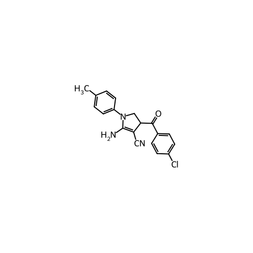 Cc1ccc(N2CC(C(=O)c3ccc(Cl)cc3)C(C#N)=C2N)cc1